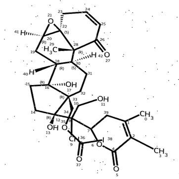 CC1=C(C)C(=O)OC(C(C)(CO)[C@]2(O)CC[C@@]3(O)[C@@H]4C[C@H]5O[C@]56CC=CC(=O)[C@]6(C)[C@H]4CC[C@@]32COC(=O)I)C1